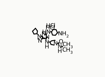 CC(C)NC(=O)N1CCC(Nc2nc(NC3CCC(N)CC3)nc3c2ncn3C2CCCC2)CC1.Cl.Cl